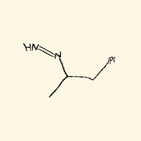 CC(C)CC(C)N=N